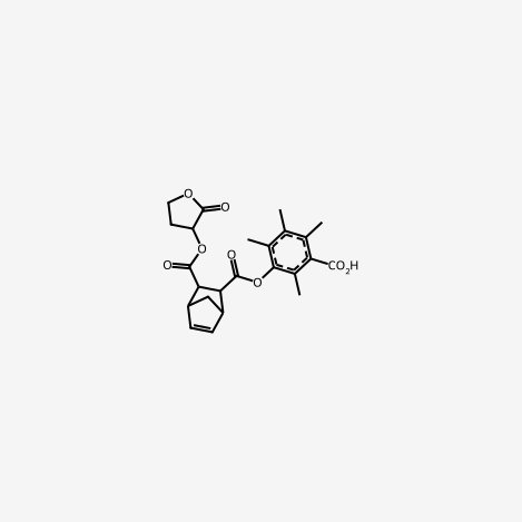 Cc1c(C)c(OC(=O)C2C3C=CC(C3)C2C(=O)OC2CCOC2=O)c(C)c(C(=O)O)c1C